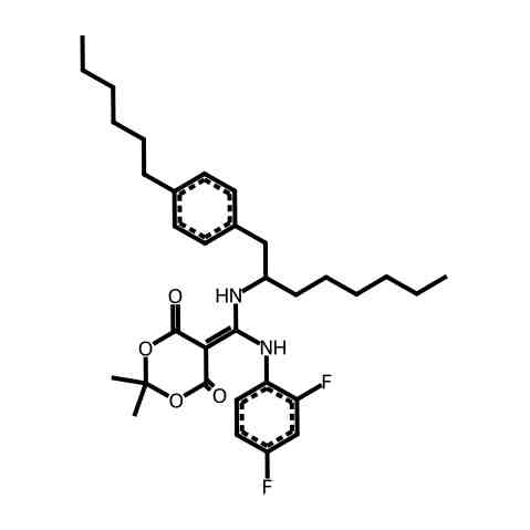 CCCCCCc1ccc(CC(CCCCCC)NC(Nc2ccc(F)cc2F)=C2C(=O)OC(C)(C)OC2=O)cc1